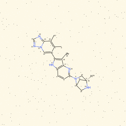 Cc1c(-c2[nH]c3ccc(N4C[C@@H]5CC4CN5)nc3c2C(C)C)cn2ncnc2c1C